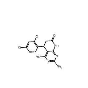 Nc1nc(O)c2c(n1)NC(=O)CC2c1ccc(Cl)cc1Cl